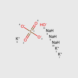 O=S(=O)([O-])[O-].[K+].[K+].[K+].[NaH].[NaH].[NaH].[OH-]